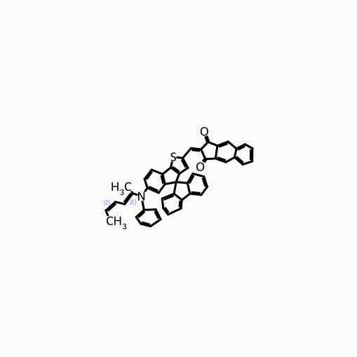 C/C=C\C=C(/C)N(c1ccccc1)c1ccc2c(c1)C1(c3ccccc3-c3ccccc31)c1cc(C=C3C(=O)c4cc5ccccc5cc4C3=O)sc1-2